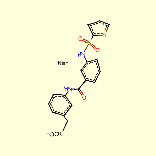 O=C([O-])Cc1cccc(NC(=O)c2cccc(NS(=O)(=O)c3cccs3)c2)c1.[Na+]